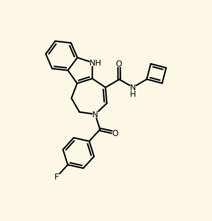 O=C(NC1=CC=C1)C1=CN(C(=O)c2ccc(F)cc2)CCc2c1[nH]c1ccccc21